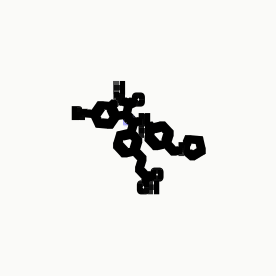 O=C(O)CCc1cccc(/C(Nc2ccc(CN3CCCC3)cc2)=C2/C(=O)Nc3cc(Br)ccc32)c1